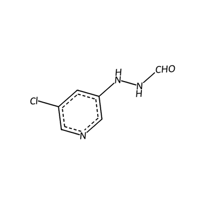 O=CNNc1cncc(Cl)c1